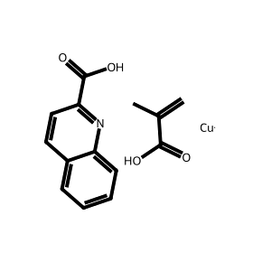 C=C(C)C(=O)O.O=C(O)c1ccc2ccccc2n1.[Cu]